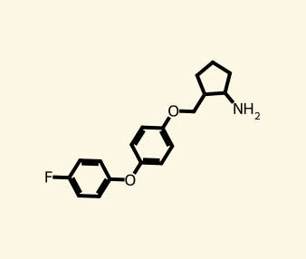 NC1CCCC1COc1ccc(Oc2ccc(F)cc2)cc1